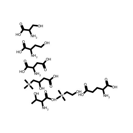 CC(O)C(N)C(=O)O.C[N+](C)(C)CC(O)CC(=O)O.C[N+](C)(C)CCO.NC(CC(=O)O)C(=O)O.NC(CCC(=O)O)C(=O)O.NC(CCO)C(=O)O.NC(CO)C(=O)O